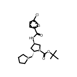 CC(C)(C)OC(=O)N1C[C@H](NC(=O)c2ccc(Cl)s2)C[C@H]1CN1CCCC1